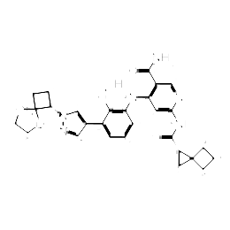 COc1c(Nc2cc(NC(=O)[C@@H]3CC34CCC4)ncc2C(N)=O)cccc1-c1cnn([C@@H]2CCC23OCCO3)c1